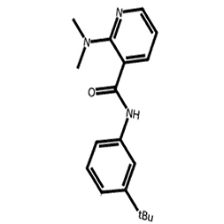 CN(C)c1ncccc1C(=O)Nc1cc[c]c(C(C)(C)C)c1